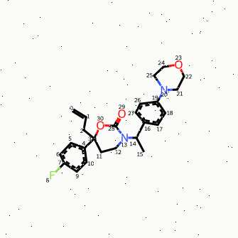 C=CCC1(c2ccc(F)cc2)CCN(C(C)c2ccc(N3CCOCC3)cc2)C(=O)O1